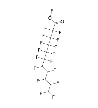 O=C(OF)C(F)(F)C(F)(F)C(F)(F)C(F)(F)C(F)(F)C(F)C(F)C(F)C(F)C(F)F